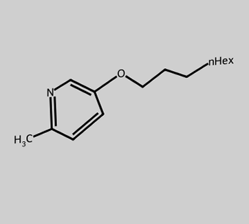 CCCCCCCCCOc1ccc(C)nc1